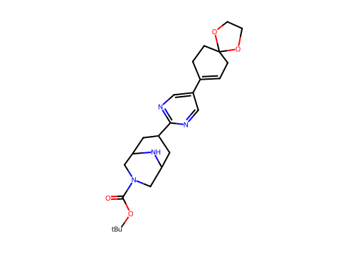 CC(C)(C)OC(=O)N1CC2CC(c3ncc(C4=CCC5(CC4)OCCO5)cn3)CC(C1)N2